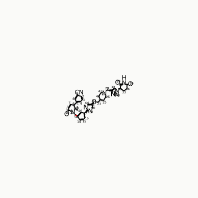 N#Cc1cccc(-c2ccc(=O)n(Cc3cccc(-c4ncc(OCC5CCN(Cc6cn(C7CCC(=O)NC7=O)nn6)CC5)cn4)c3)n2)c1